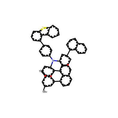 CC(C)(C)c1cc(-c2cccc3cccc(-c4ccccc4N(c4ccc(-c5cccc6sc7ccccc7c56)cc4)c4cccc(-c5cccc6ccccc56)c4)c23)cc(C(C)(C)C)c1